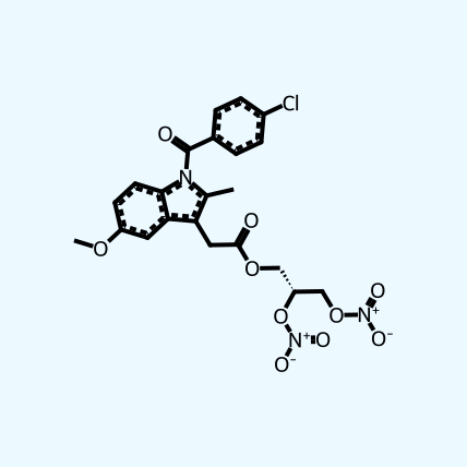 COc1ccc2c(c1)c(CC(=O)OC[C@H](CO[N+](=O)[O-])O[N+](=O)[O-])c(C)n2C(=O)c1ccc(Cl)cc1